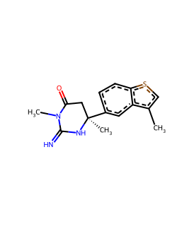 Cc1csc2ccc([C@]3(C)CC(=O)N(C)C(=N)N3)cc12